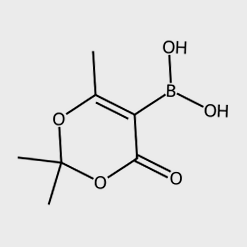 CC1=C(B(O)O)C(=O)OC(C)(C)O1